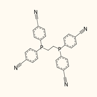 N#Cc1ccc(P(CCP(c2ccc(C#N)cc2)c2ccc(C#N)cc2)c2ccc(C#N)cc2)cc1